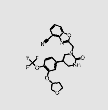 N#Cc1cccc2oc(CN3CC(c4ccc(OC(F)(F)F)c(OC5CCOC5)c4)CNC3=O)nc12